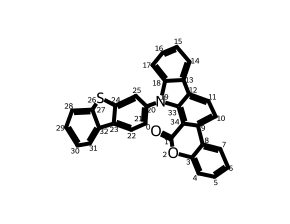 O=c1oc2ccccc2c2ccc3c4ccccc4n(-c4ccc5c(c4)sc4ccccc45)c3c12